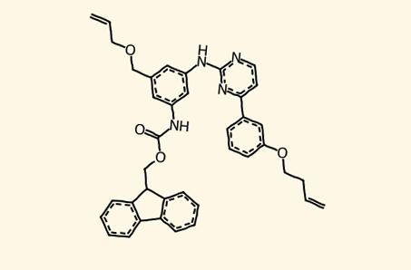 C=CCCOc1cccc(-c2ccnc(Nc3cc(COCC=C)cc(NC(=O)OCC4c5ccccc5-c5ccccc54)c3)n2)c1